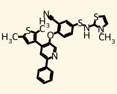 Cc1cc(-c2cc(-c3ccccc3)ncc2Oc2ccc(SNC3SC=CN3C)cc2C#N)c(C)s1